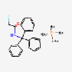 CCCC[PH](CCCC)(CCCC)CCCC.O=C(CF)NC(c1ccccc1)(c1ccccc1)c1ccccc1